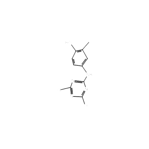 Cc1cc(Nc2nc(Cl)nc(Cl)n2)ccc1O